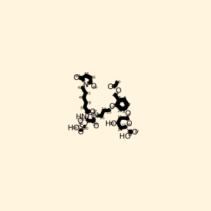 CC(=O)OCc1ccc(O[C@H]2C[C@@H](O)C[C@@H](C(=O)O)O2)cc1OCCCNC(=O)[C@H](CS(=O)(=O)O)NC(=O)CCCCCN1C(=O)C=CC1=O